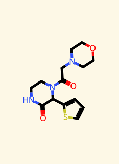 O=C1NCCN(C(=O)CN2CCOCC2)C1c1cccs1